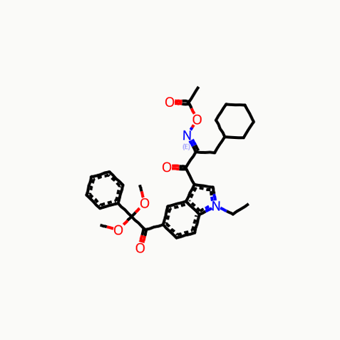 CCn1cc(C(=O)/C(CC2CCCCC2)=N/OC(C)=O)c2cc(C(=O)C(OC)(OC)c3ccccc3)ccc21